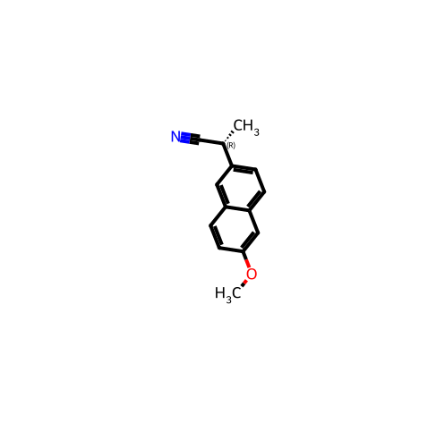 COc1ccc2cc([C@@H](C)C#N)ccc2c1